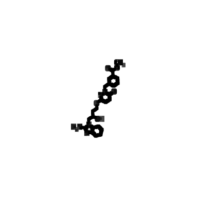 COC(=O)c1cccc(Cn2nc(OCCC(O)Cn3c(N)nc4ccccc43)ccc2=O)c1